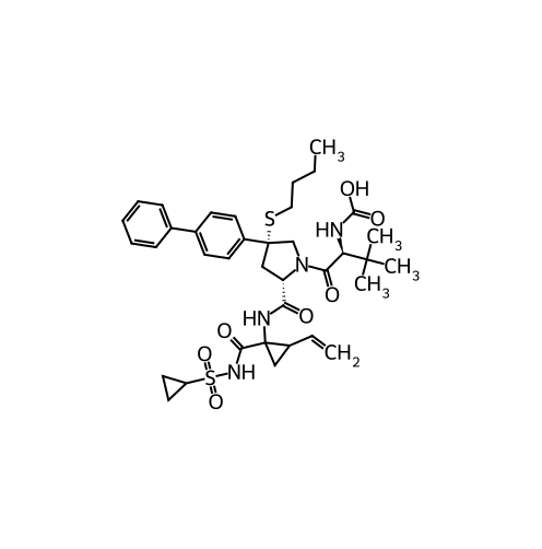 C=CC1CC1(NC(=O)[C@@H]1C[C@@](SCCCC)(c2ccc(-c3ccccc3)cc2)CN1C(=O)[C@@H](NC(=O)O)C(C)(C)C)C(=O)NS(=O)(=O)C1CC1